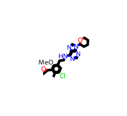 COc1c(CCNc2ncnc3c2ncn3C2CCCCO2)cc(Cl)c(C)c1C1CO1